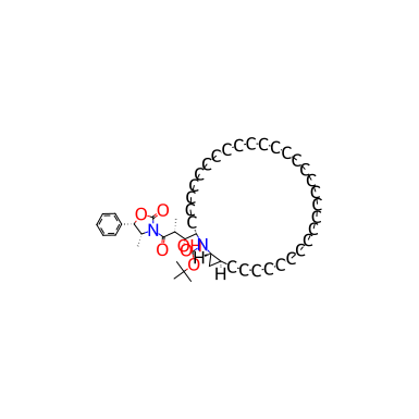 C[C@@H]1[C@H](c2ccccc2)OC(=O)N1C(=O)[C@H](C)[C@@H](O)[C@@H]1CCCCCCCCCCCCCCCCCCCCCCCCCCCC[C@H]2C[C@@H]2N1C(=O)OC(C)(C)C